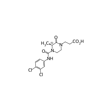 C[C@H]1C(=O)N(CCC(=O)O)CCN1C(=O)Nc1ccc(Cl)c(Cl)c1